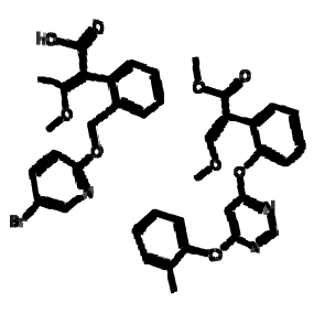 CO/C(C)=C(/C(=O)O)c1ccccc1COc1ccc(Br)cn1.CO/C=C(/C(=O)OC)c1ccccc1Oc1cc(Oc2ccccc2C)ncn1